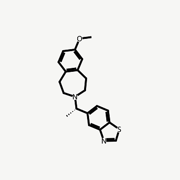 COc1ccc2c(c1)CCN([C@@H](C)c1ccc3scnc3c1)CC2